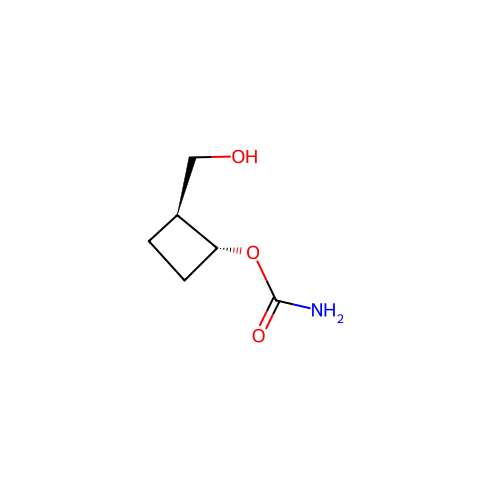 NC(=O)O[C@@H]1CC[C@H]1CO